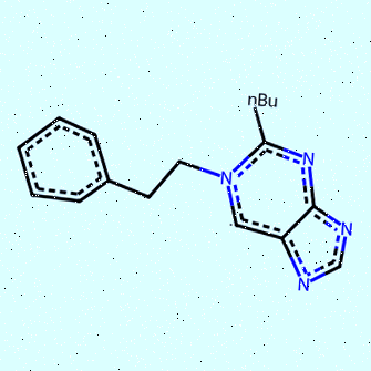 CCCCc1nc2ncnc-2[c]n1CCc1ccccc1